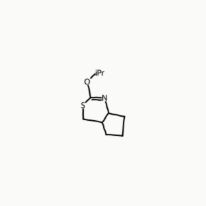 CC(C)OC1=NC2CCCC2CS1